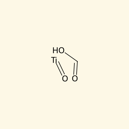 O=CO.[O]=[Ti]